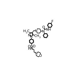 Cc1nn(-c2ccc(S(=O)(=O)NCCN3CCOCC3)cc2)c(C)c1CN1CCC(N(C(=O)Nc2ccc(F)cc2)c2ccccc2)CC1